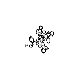 COc1ccccc1C(=O)OC12CC3(OC(=O)c4ccccc4CO)CC(OC(=O)c4ccccc4OC)(C1)CC(OC(=O)c1ccccc1OC)(C3)C2